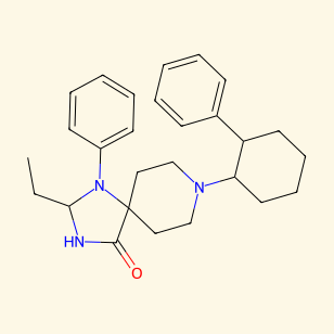 CCC1NC(=O)C2(CCN(C3CCCCC3c3ccccc3)CC2)N1c1ccccc1